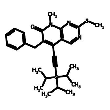 CSc1ncc2c(C#C[Si](C(C)C)(C(C)C)C(C)C)c(Cc3ccccc3)c(=O)n(C)c2n1